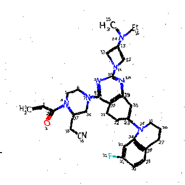 C=CC(=O)N1CCN(c2nc(N3CC(N(C)CC)C3)nc3c2CCC(N2CCCc4ccc(F)cc42)C3)CC1CC#N